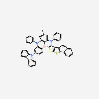 Cc1cc2c3c(c1)N(c1ccccc1)c1c(sc4sc5c6ccccc6ccc5c14)B3c1ccc(-n3c4ccccc4c4ccccc43)cc1N2c1ccccc1